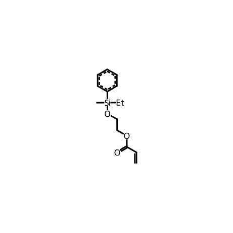 C=CC(=O)OCCO[Si](C)(CC)c1ccccc1